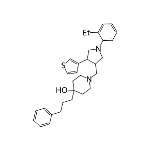 CCc1ccccc1N1CC(CN2CCC(O)(CCCc3ccccc3)CC2)C(c2ccsc2)C1